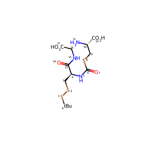 CC(C)(C)SSC[C@H](NC(=O)SC[C@H](N)C(=O)O)C(=O)NCC(=O)O